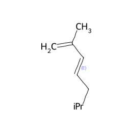 C=C(C)/C=C/CC(C)C